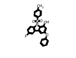 Cc1ccc(S(=O)(=O)n2c3ccc(F)cc3c3cc(Oc4ccccc4)cc(O)c32)cc1